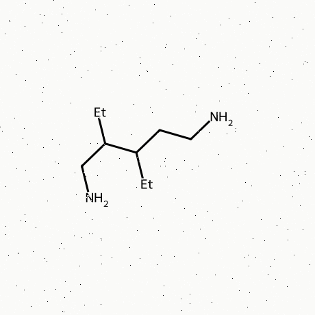 CCC(CN)C(CC)CCN